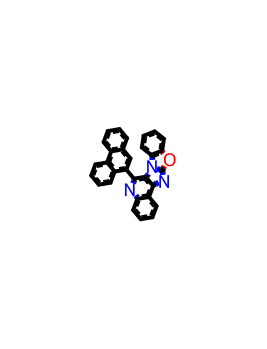 c1ccc2c(c1)cc(-c1nc3ccccc3c3nc4oc5ccccc5n4c13)c1ccccc12